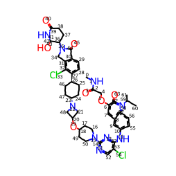 CNC(=O)COc1cc2cc(Nc3nc(N4CCC(OC5CN([C@H]6CC[C@H](c7ccc8c(c7Cl)CN(C7CCC(=O)NC7O)C8=O)CC6)C5)CC4)ncc3Cl)ccc2n(C(C)C)c1=O